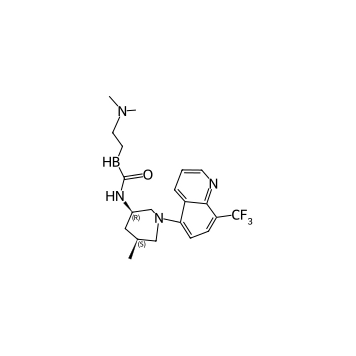 C[C@H]1C[C@@H](NC(=O)BCCN(C)C)CN(c2ccc(C(F)(F)F)c3ncccc23)C1